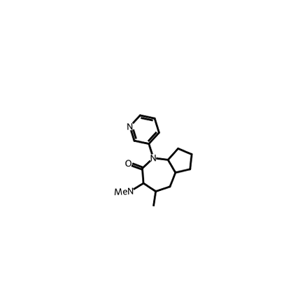 CNC1C(=O)N(c2cccnc2)C2CCCC2CC1C